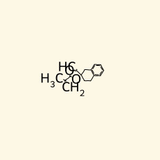 C#CC1(OC(=O)C(=C)C)CCc2ccccc2C1